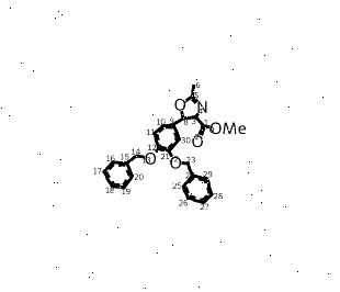 COC(=O)C1N=C(C)OC1c1ccc(OCc2ccccc2)c(OCc2ccccc2)c1